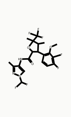 COc1c(C2C(C(=O)Nc3cn(C(F)F)nc3C)OC(C)(C(F)(F)F)C2C)ccc(F)c1F